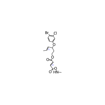 C/C=C/C(CCOC(=O)/C=C/C(=O)ONC)Oc1ccc(Br)c(Cl)c1